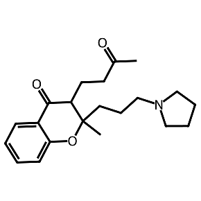 CC(=O)CCC1C(=O)c2ccccc2OC1(C)CCCN1CCCC1